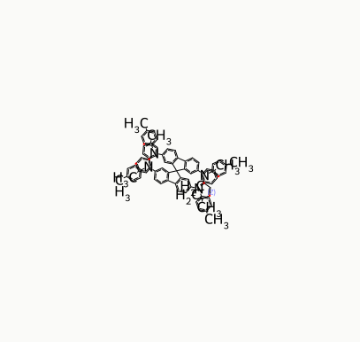 C=C(C)/C=C\C(=C)N(c1ccc(C)cc1)c1ccc2c(c1)C1(c3cc(N(c4ccc(C)cc4)c4ccc(C)cc4)ccc3-2)c2cc(N(c3ccc(C)cc3)c3ccc(C)cc3)ccc2-c2ccc(N(c3ccc(C)cc3)c3ccc(C)cc3)cc21